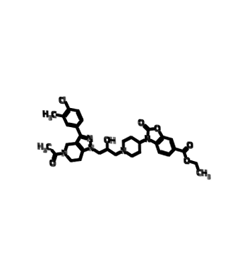 CCOC(=O)c1ccc2c(c1)oc(=O)n2C1CCN(CC(O)Cn2nc(-c3ccc(Cl)c(C)c3)c3c2CCN(C(C)=O)C3)CC1